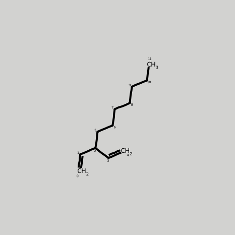 C=C[C](C=C)CCCCCCC